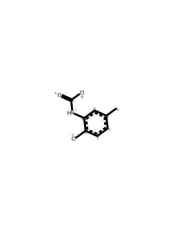 Cc1ccc(Cl)c(NC(=O)Cl)c1